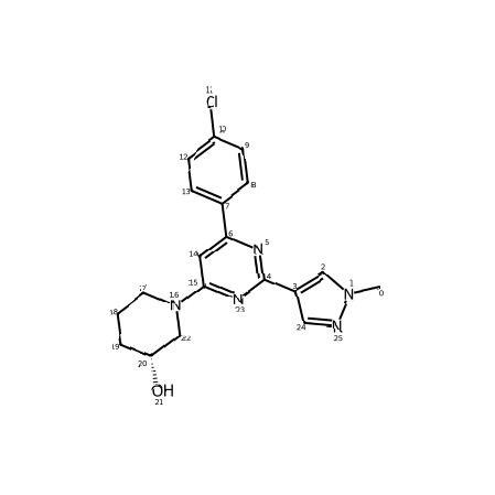 Cn1cc(-c2nc(-c3ccc(Cl)cc3)cc(N3CCC[C@@H](O)C3)n2)cn1